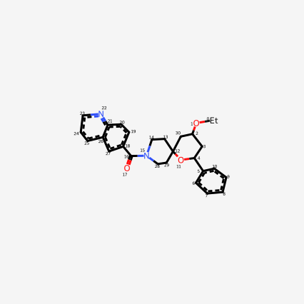 CCOC1CC(c2ccccc2)OC2(CCN(C(=O)c3ccc4ncccc4c3)CC2)C1